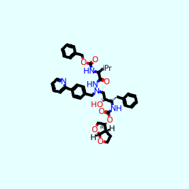 CC(C)C(NC(=O)OCc1ccccc1)C(=O)NN(Cc1ccc(-c2ccccn2)cc1)C[C@H](O)[C@H](Cc1ccccc1)NC(=O)O[C@H]1CO[C@H]2OCC[C@H]21